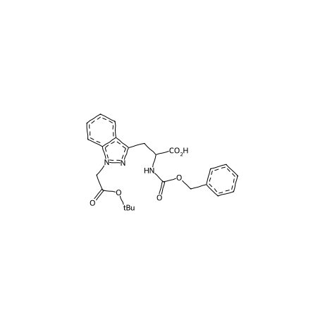 CC(C)(C)OC(=O)Cn1nc(CC(NC(=O)OCc2ccccc2)C(=O)O)c2ccccc21